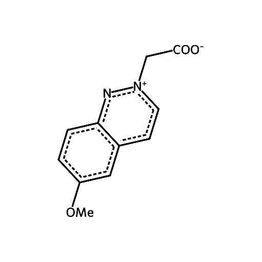 COc1ccc2n[n+](CC(=O)[O-])ccc2c1